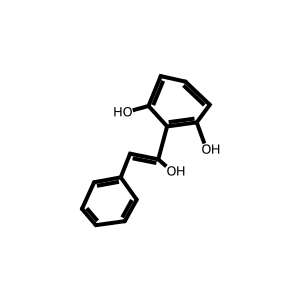 OC(=Cc1ccccc1)c1c(O)cccc1O